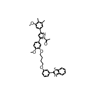 COc1ccc(-c2cc(-c3cc(C)c(C)c(OC)c3)nn2C(C)=O)cc1OCCCCOc1cccc(-c2nc3ccccc3s2)c1